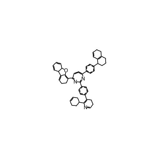 C1=CC(C2=C3OC4C=CC=CC4C3=CCC2)=NC(c2ccc(C3=C(C4CC=CCC4)N=CCC3)cc2)=NC=1c1ccc(C2CCCC3=C2C=CCC3)cc1